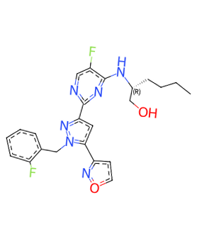 CCCC[C@H](CO)Nc1nc(-c2cc(-c3ccon3)n(Cc3ccccc3F)n2)ncc1F